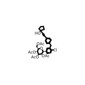 CC(=O)OC[C@H]1O[C@@H](c2ccc(Cl)c(Cc3ccc(C#CC4(O)CCCC4)cc3)c2)[C@H](OC(C)=O)[C@@H](OC(C)=O)[C@@H]1OC(C)=O